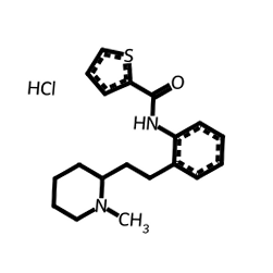 CN1CCCCC1CCc1ccccc1NC(=O)c1cccs1.Cl